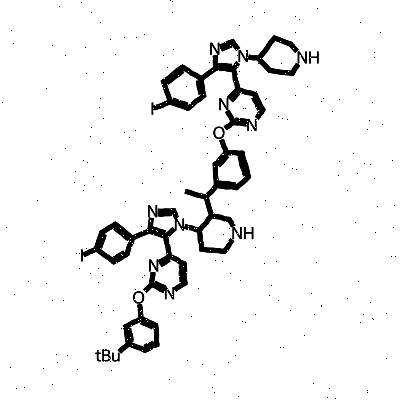 CC(c1cccc(Oc2nccc(-c3c(-c4ccc(I)cc4)ncn3C3CCNCC3)n2)c1)C1CNCCC1n1cnc(-c2ccc(I)cc2)c1-c1ccnc(Oc2cccc(C(C)(C)C)c2)n1